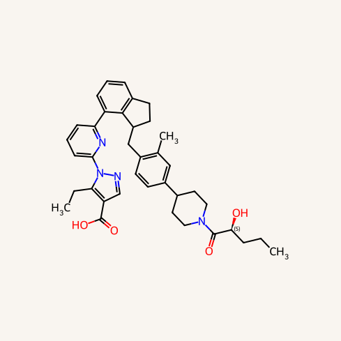 CCC[C@H](O)C(=O)N1CCC(c2ccc(CC3CCc4cccc(-c5cccc(-n6ncc(C(=O)O)c6CC)n5)c43)c(C)c2)CC1